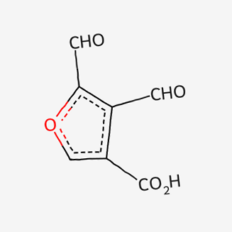 O=Cc1occ(C(=O)O)c1C=O